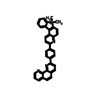 C[Si]1(C)c2ccccc2-c2c1ccc1nc(-c3ccc(-c4ccc5ccc6cccnc6c5n4)cc3)ccc21